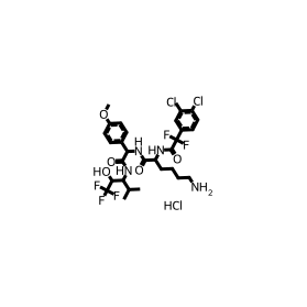 COc1ccc(C(NC(=O)C(CCCCN)NC(=O)C(F)(F)c2ccc(Cl)c(Cl)c2)C(=O)NC(C(C)C)C(O)C(F)(F)F)cc1.Cl